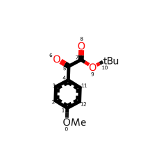 COc1ccc(C(=O)C(=O)OC(C)(C)C)cc1